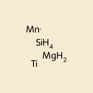 [MgH2].[Mn].[SiH4].[Ti]